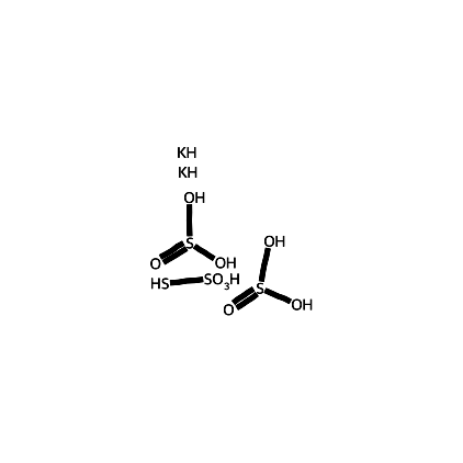 O=S(=O)(O)S.O=S(O)O.O=S(O)O.[KH].[KH]